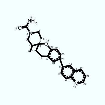 CC1CN(C(N)=O)CC[C@]12CCc1cc(-c3ccc4ncccc4c3)ccc1O2